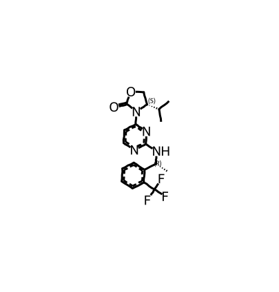 CC(C)[C@H]1COC(=O)N1c1ccnc(N[C@H](C)c2ccccc2C(F)(F)F)n1